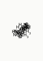 Cc1cc(C)c(N(c2ccccc2C#N)C2CCNCC2)c(C)c1C(=O)N1CCN(c2ncccc2S(N)(=O)=O)C[C@@H]1C